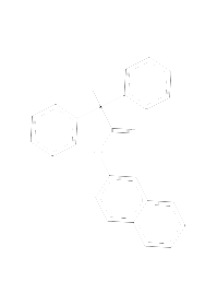 O=C(Oc1ccc2ccccc2c1)C(O)(c1ccccc1)c1ccccc1